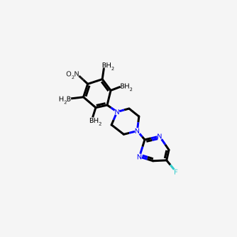 Bc1c(B)c([N+](=O)[O-])c(B)c(B)c1N1CCN(c2ncc(F)cn2)CC1